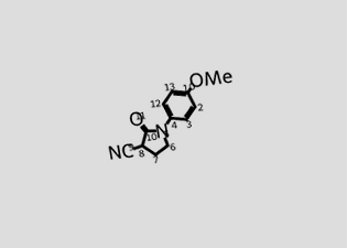 COc1ccc(N2CCC(C#N)C2=O)cc1